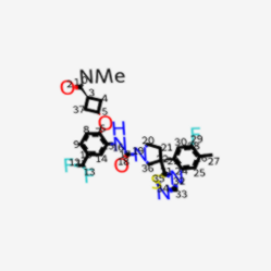 CNC(=O)[C@H]1C[C@H](Oc2ccc(C(F)F)cc2NC(=O)N2CC[C@](c3ccc(C)c(F)c3)(c3ncns3)C2)C1